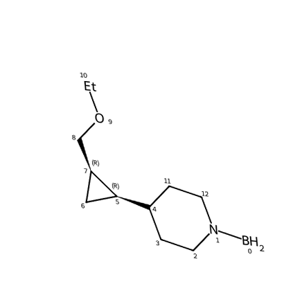 BN1CCC([C@H]2C[C@H]2COCC)CC1